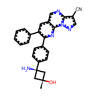 C[C@]1(O)C[C@@](N)(c2ccc(-c3nc4c(cnc5c(C#N)cnn54)cc3-c3ccccc3)cc2)C1